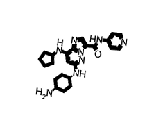 N[C@H]1CC[C@H](Nc2cc(NC3CCCC3)c3ncc(C(=O)Nc4ccncc4)n3n2)CC1